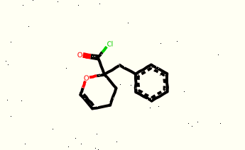 O=C(Cl)C1(Cc2ccccc2)CCC=CO1